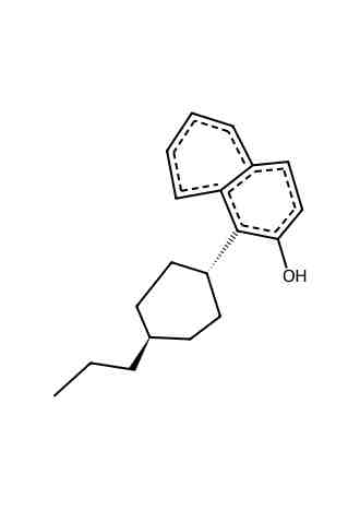 CCC[C@H]1CC[C@H](c2c(O)ccc3ccccc32)CC1